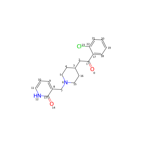 O=C(CC1CCN(Cc2ccc[nH]c2=O)CC1)c1ccccc1Cl